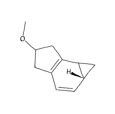 COC1CC2=C(C1)C1C[C@@H]1C=C2